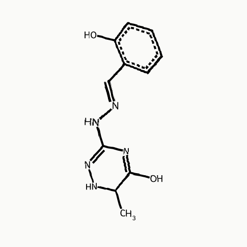 CC1NN=C(N/N=C/c2ccccc2O)N=C1O